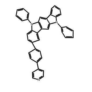 c1ccc(-n2c3ccccc3c3cc4c(cc32)c2cc(-c3ccc(-c5ccncc5)cc3)ccc2n4-c2ccccc2)cc1